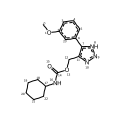 COc1cccc(-c2[nH]nnc2COC(=O)NC2CCCCC2)c1